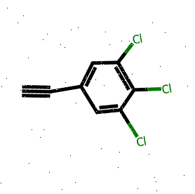 C#Cc1cc(Cl)c(Cl)c(Cl)c1